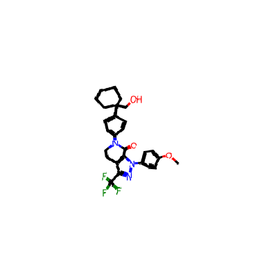 COc1ccc(-n2nc(C(F)(F)F)c3c2C(=O)N(c2ccc(C4(CO)CCCCC4)cc2)CC3)cc1